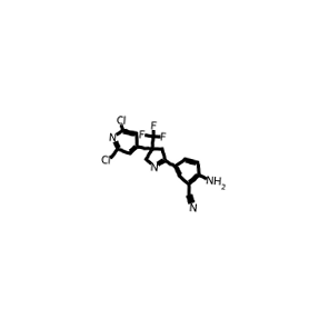 N#Cc1cc(C2=NCC(c3cc(Cl)nc(Cl)c3)(C(F)(F)F)C2)ccc1N